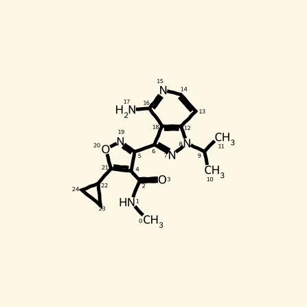 CNC(=O)c1c(-c2nn(C(C)C)c3ccnc(N)c23)noc1C1CC1